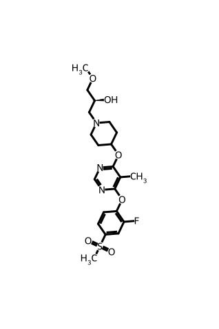 COC[C@@H](O)CN1CCC(Oc2ncnc(Oc3ccc(S(C)(=O)=O)cc3F)c2C)CC1